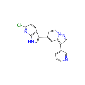 Clc1ccc2c(-c3ccn4ncc(-c5cccnc5)c4c3)c[nH]c2n1